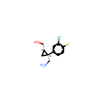 NC[C@]1(c2ccc(F)c(Cl)c2)C[C@@H]1CO